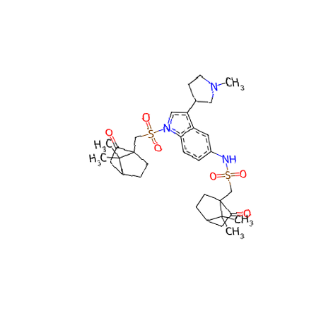 CN1CCC(c2cn(S(=O)(=O)CC34CCC(CC3=O)C4(C)C)c3ccc(NS(=O)(=O)CC45CCC(CC4=O)C5(C)C)cc23)C1